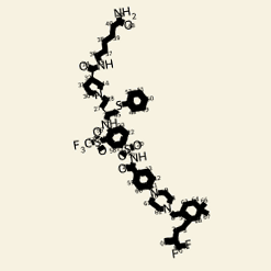 C=C(CCC1=C(CN2CCN(c3ccc(C(=O)NS(=O)(=O)c4ccc(N[C@H](CCN5CC[C@@H](C(=O)NCCCCCC(N)=O)C5)CSc5ccccc5)c(S(=O)(=O)C(F)(F)F)c4)cc3)CC2)CCC(C)(C)C1)C(F)F